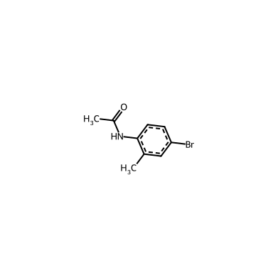 CC(=O)Nc1ccc(Br)cc1C